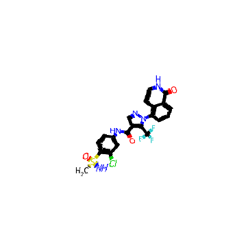 CS(=N)(=O)c1ccc(NC(=O)c2cnn(-c3cccc4c(=O)[nH]ccc34)c2C(F)(F)F)cc1Cl